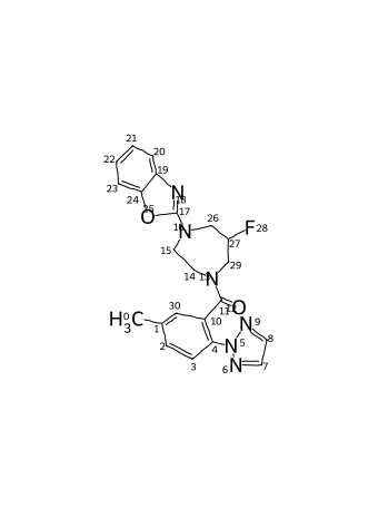 Cc1ccc(-n2nccn2)c(C(=O)N2CCN(c3nc4ccccc4o3)CC(F)C2)c1